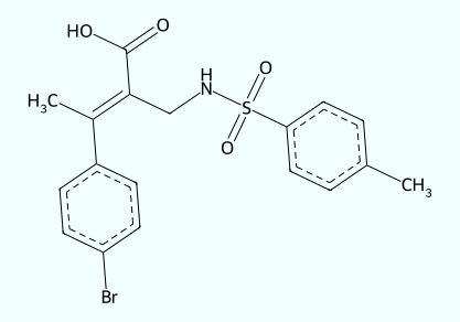 C/C(=C(/CNS(=O)(=O)c1ccc(C)cc1)C(=O)O)c1ccc(Br)cc1